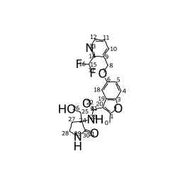 Cc1oc2ccc(OCc3cccnc3C(F)F)cc2c1C(=O)NC1(CO)CCNC1=O